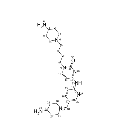 NC1CCN(CCCCn2ccc(Nc3ccc(CN4CCC(N)CC4)cn3)nc2=O)CC1